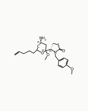 C=CCCCC1C[C@@H](N)C[C@](OC)([C@@H]2CSC(=O)N2Cc2ccc(OC)cc2)O1